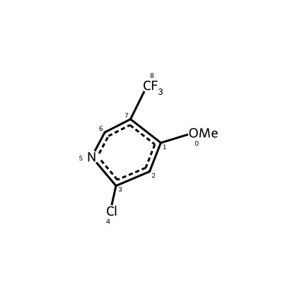 COc1cc(Cl)ncc1C(F)(F)F